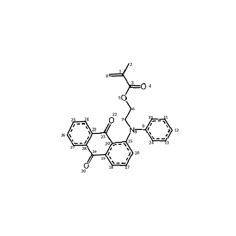 C=C(C)C(=O)OCCN(c1ccccc1)c1cccc2c1C(=O)c1ccccc1C2=O